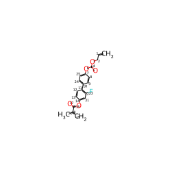 C=CCOC(=O)Oc1ccc(-c2ccc(OC(=O)C(=C)C)cc2F)cc1